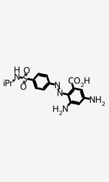 CC(C)NS(=O)(=O)c1ccc(N=Nc2c(N)cc(N)cc2C(=O)O)cc1